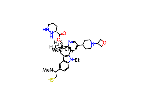 CCn1c(-c2cc(C3CCN(C4COC4)CC3)cnc2[C@H](C)OC)c(CC(C)(C)COC(=O)[C@@H]2CCCNN2)c2cc(C(CS)NC)ccc21